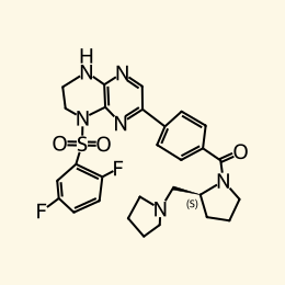 O=C(c1ccc(-c2cnc3c(n2)N(S(=O)(=O)c2cc(F)ccc2F)CCN3)cc1)N1CCC[C@H]1CN1CCCC1